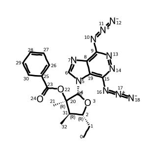 CC[C@H]1O[C@@H](n2cnc3c(N=[N+]=[N-])nnc(N=[N+]=[N-])c32)[C@](C)(OC(=O)c2ccccc2)[C@@H]1C